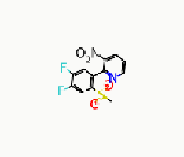 CS(=O)(=O)c1cc(F)c(F)cc1-c1ncccc1[N+](=O)[O-]